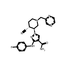 N#C[C@@H]1CCN(Cc2cnccn2)C[C@H]1n1cc(C(N)=O)c(Nc2ccc(F)cc2)n1